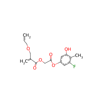 C=CCOCC(=C)C(=O)OCC(=O)Oc1cc(O)c(C)c(F)c1